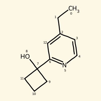 CCc1ccnc(C2(O)CCC2)c1